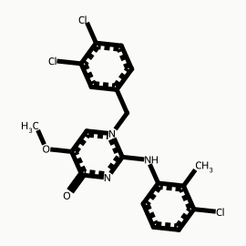 COc1cn(Cc2ccc(Cl)c(Cl)c2)c(Nc2cccc(Cl)c2C)nc1=O